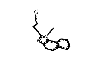 Cn1c(CCCCl)nc2ccc3ccccc3c21